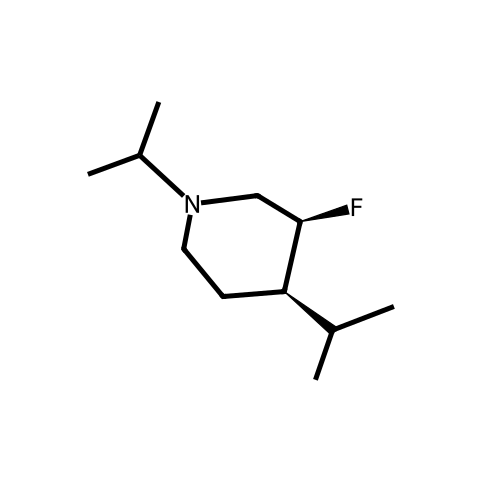 CC(C)[C@H]1CCN(C(C)C)C[C@H]1F